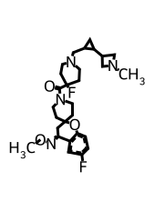 CO/N=C1\CC2(CCN(C(=O)C3(F)CCN(CC4CC4C4CN(C)C4)CC3)CC2)Oc2ccc(F)cc21